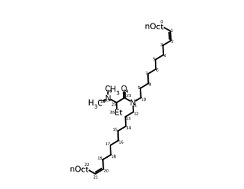 CCCCCCCC/C=C\CCCCCCCCN(CCCCCCCC/C=C\CCCCCCCC)C(=O)C(CC)N(C)C